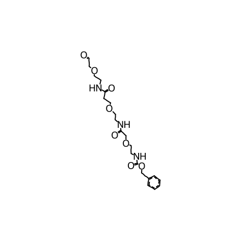 O=CCOCCNC(=O)CCOCCNC(=O)COCCNC(=O)OCc1ccccc1